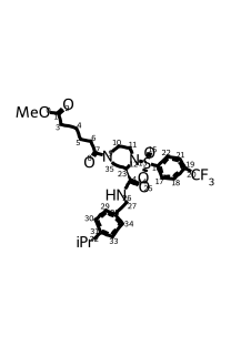 COC(=O)CCCCC(=O)N1CCN(S(=O)(=O)c2ccc(C(F)(F)F)cc2)[C@@H](C(=O)NCc2ccc(C(C)C)cc2)C1